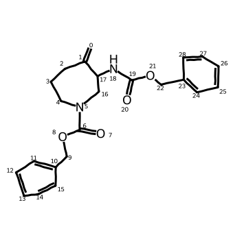 C=C1CCCN(C(=O)OCc2ccccc2)CC1NC(=O)OCc1ccccc1